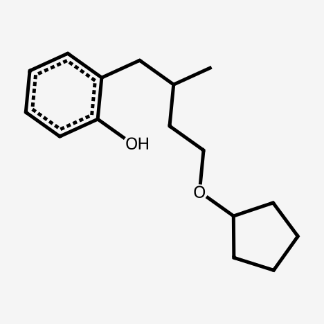 CC(CCOC1CCCC1)Cc1ccccc1O